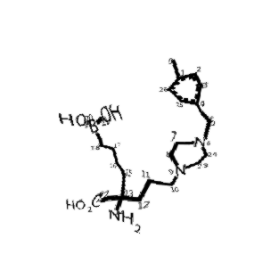 Cc1ccc(CN2CCN(CCCC(N)(CCCCB(O)O)C(=O)O)CC2)cc1